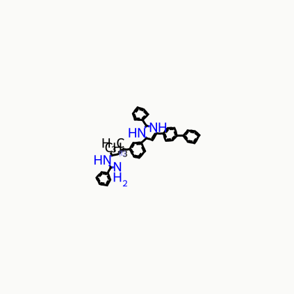 C/C(=C\C(C)NC(N)c1ccccc1)c1cccc(C2C=C(c3ccc(-c4ccccc4)cc3)NC(c3ccccc3)N2)c1